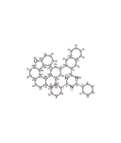 c1ccc(-c2nc(-c3ccccc3)nc(-c3cc4ccccc4cc3-c3ccc4c(ccc5ccc6ccc7oc8ccccc8c7c6c54)c3)n2)cc1